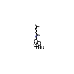 CC(C)=CCC/C(C)=C/COC(=O)OC(C)(C)C